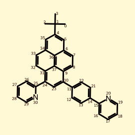 CC(C)(C)c1cc2ccc3c(-c4ccc(-c5ccccn5)cc4)cc(-c4ccccn4)c4ccc(c1)c2c34